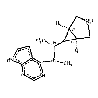 C[C@H](C1[C@H]2CNC[C@@H]12)N(C)c1ncnc2[nH]ccc12